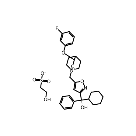 O=S(=O)([O-])CCO.O[C@](c1ccccc1)(c1cc(C[N+]23CCC(CC2)C(Oc2cccc(F)c2)C3)on1)C1CCCCC1